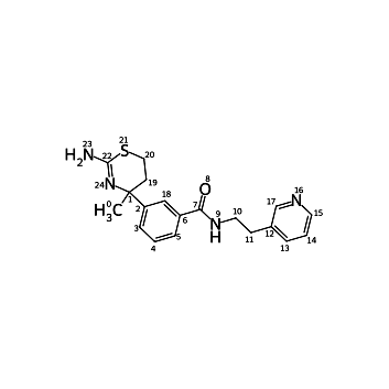 CC1(c2cccc(C(=O)NCCc3cccnc3)c2)CCSC(N)=N1